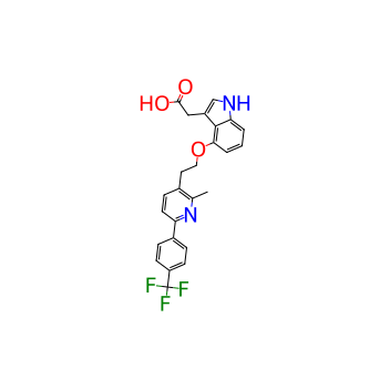 Cc1nc(-c2ccc(C(F)(F)F)cc2)ccc1CCOc1cccc2[nH]cc(CC(=O)O)c12